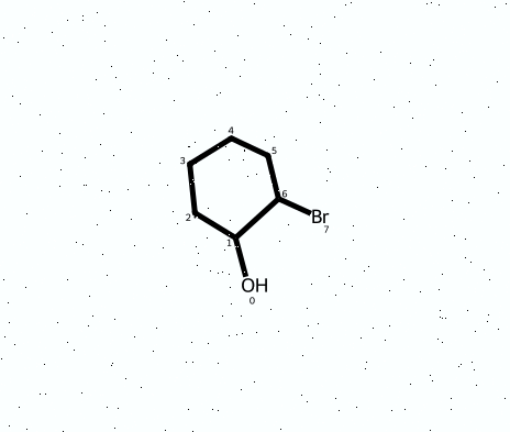 OC1[CH]CCCC1Br